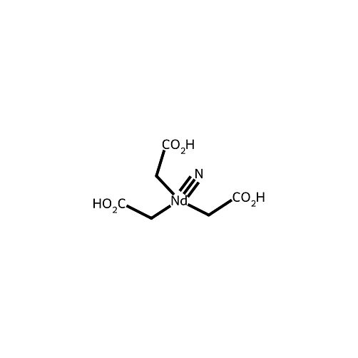 [N]#[Nd]([CH2]C(=O)O)([CH2]C(=O)O)[CH2]C(=O)O